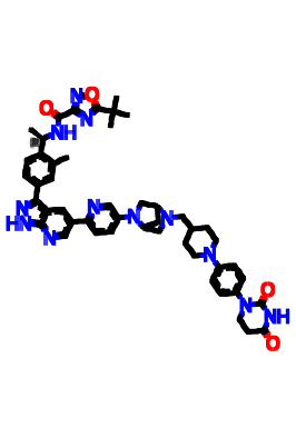 Cc1cc(-c2n[nH]c3ncc(-c4ccc(N5CC6CC5CN6CC5CCN(c6ccc(N7CCC(=O)NC7=O)cc6)CC5)cn4)cc23)ccc1[C@@H](C)NC(=O)c1noc(C(C)(C)C)n1